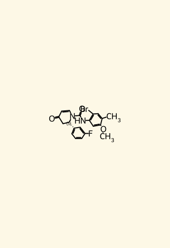 COc1cc(NC(=O)N2C=CC(=O)C[C@H]2c2cccc(F)c2)c(Br)cc1C